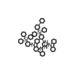 c1ccc(-c2cccc([Si](c3ccccc3)(c3ccccc3)c3ccc(-c4cc(-n5c6ccccc6c6ccc7c(c8ccccc8n7-c7cccc([Si](c8ccccc8)(c8ccccc8)c8ccccc8)c7)c65)nc(-n5c6ccccc6c6ccccc65)n4)cc3)c2)cc1